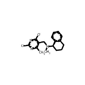 Cc1nc(Cl)nc(Cl)c1CN(C)C1CCCc2ccccc21